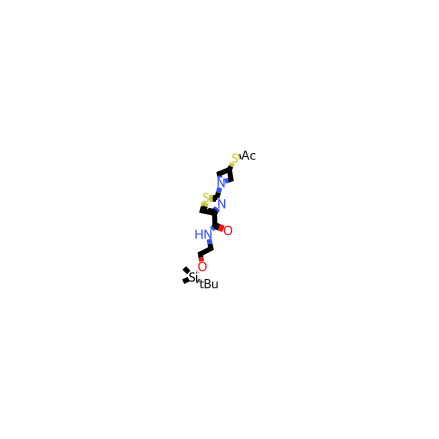 CC(=O)SC1CN(c2nc(C(=O)NCCO[Si](C)(C)C(C)(C)C)cs2)C1